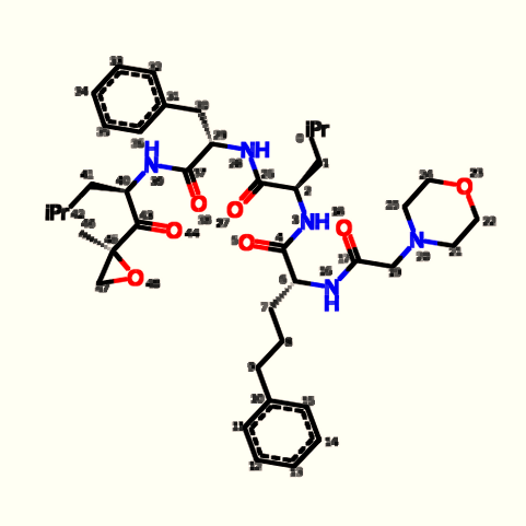 CC(C)C[C@@H](NC(=O)[C@@H](CCCc1ccccc1)NC(=O)CN1CCOCC1)C(=O)N[C@@H](Cc1ccccc1)C(=O)N[C@H](CC(C)C)C(=O)[C@]1(C)CO1